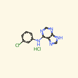 Cl.Clc1cccc(Nc2ncnc3[nH]cnc23)c1